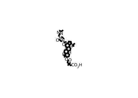 C=C(C)[C@@H]1CC[C@]2(CC(=O)N3CCN(CC4=NCC(C)=N4)C(=O)C3)CC[C@]3(C)[C@H](CC[C@@H]4[C@@]5(C)CC[C@H](OC(=O)CC(C)(C)CC(=O)O)C(C)(C)[C@@H]5CC[C@]43C)[C@@H]12